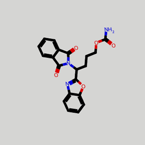 NC(=O)OCCCC(c1nc2ccccc2o1)N1C(=O)c2ccccc2C1=O